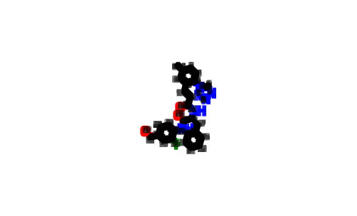 Cc1ccc(-n2cnnn2)c(/C=C/C(=O)N[C@@H](Cc2ccccc2)C(=O)Nc2ccc(C=O)cc2F)c1